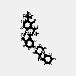 Cc1c(C(C)Nc2nncc3ccc(N4CCn5c(nc6ccccc65)C4)cc23)cccc1C(F)(F)F